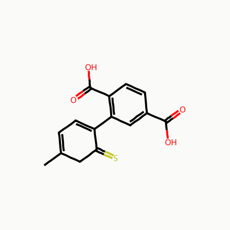 CC1=CC=C(c2cc(C(=O)O)ccc2C(=O)O)C(=S)C1